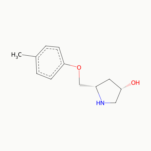 Cc1ccc(OC[C@@H]2C[C@H](O)CN2)cc1